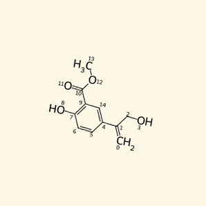 C=C(CO)c1ccc(O)c(C(=O)OC)c1